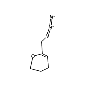 [N-]=[N+]=NCC1=CCCCO1